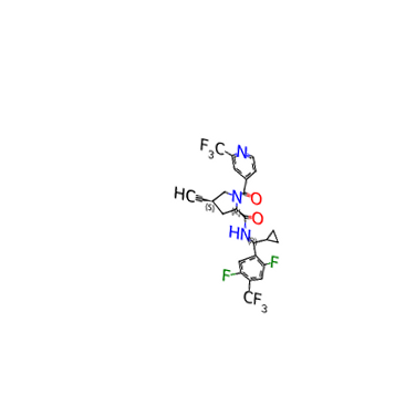 C#C[C@@H]1C[C@H](C(=O)N[C@@H](c2cc(F)c(C(F)(F)F)cc2F)C2CC2)N(C(=O)c2ccnc(C(F)(F)F)c2)C1